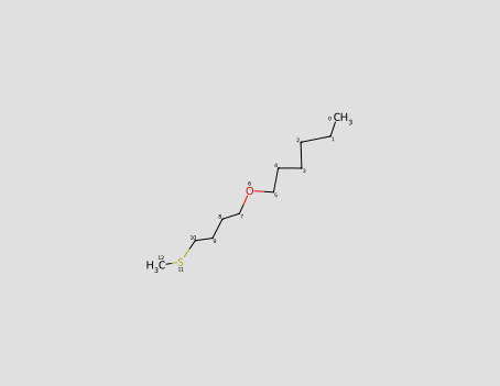 CCCCCCOCCCCSC